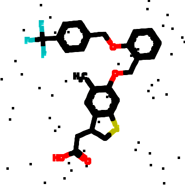 Cc1cc2c(cc1OCc1ccccc1OCc1ccc(C(F)(F)F)cc1)SCC2CC(=O)O